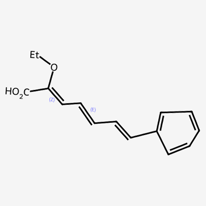 CCO/C(=C\C=C\C=Cc1ccccc1)C(=O)O